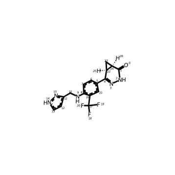 O=C1NN=C(c2ccc(NCc3cc[nH]n3)c(C(F)(F)F)c2)[C@H]2C[C@@H]12